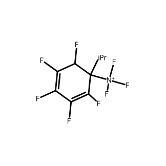 CC(C)C1([N+](F)(F)F)C(F)=C(F)C(F)=C(F)C1F